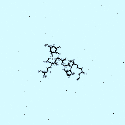 C=CCC(CC)CCCc1noc([C@H](Cc2c[nH]cn2)NC(=O)[C@H](Cc2c(C)cc(O)cc2C)NC(=O)[C@@H](CCNC(=N)N)N(C)C)n1